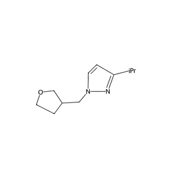 CC(C)c1ccn(CC2CCOC2)n1